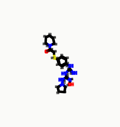 N=C(NC(=NO)NN1CCCC1)Nc1ccc(SCC(=O)N2CCCCC2)cc1